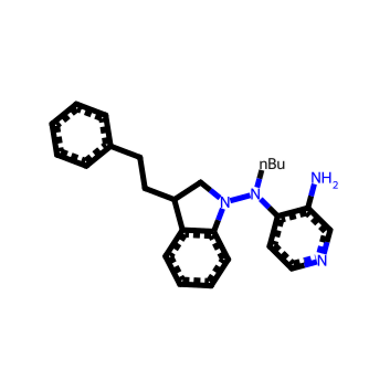 CCCCN(c1ccncc1N)N1CC(CCc2ccccc2)c2ccccc21